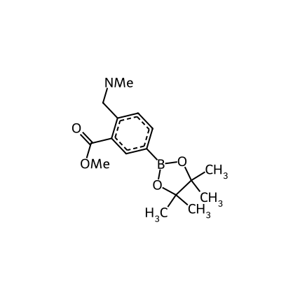 CNCc1ccc(B2OC(C)(C)C(C)(C)O2)cc1C(=O)OC